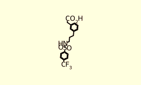 O=C(O)Cc1cccc(CCCNS(=O)(=O)c2ccc(C(F)(F)F)cc2)c1